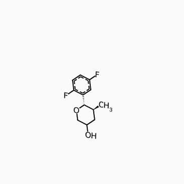 C[C@H]1CC(O)CO[C@@H]1c1cc(F)ccc1F